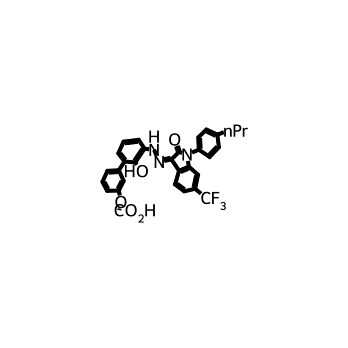 CCCc1ccc(N2C(=O)C(=NNc3cccc(-c4cccc(OC(=O)O)c4)c3O)c3ccc(C(F)(F)F)cc32)cc1